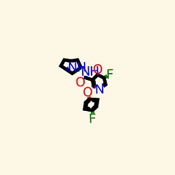 O=C(NC1CC2CCC(C1)N2)C1=C(Oc2ccc(F)cc2)N=CC(F)C1=O